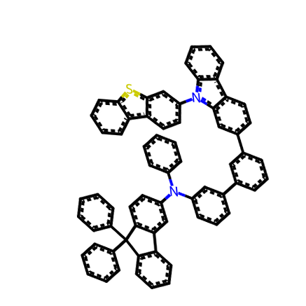 c1ccc(N(c2cccc(-c3cccc(-c4ccc5c6ccccc6n(-c6ccc7c(c6)sc6ccccc67)c5c4)c3)c2)c2ccc3c(c2)-c2ccccc2C3(c2ccccc2)c2ccccc2)cc1